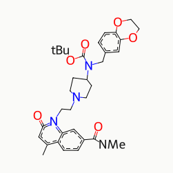 CNC(=O)c1ccc2c(C)cc(=O)n(CCN3CCC(N(Cc4ccc5c(c4)OCCO5)C(=O)OC(C)(C)C)CC3)c2c1